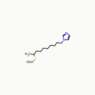 CCCCCCCCCCSC(C)CCCCCCCCn1ccnc1